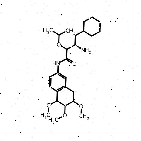 COC1Cc2cc(NC(=O)C(OC(C)C)[C@H](N)CC3CCCCC3)ccc2C(OC)C1OC